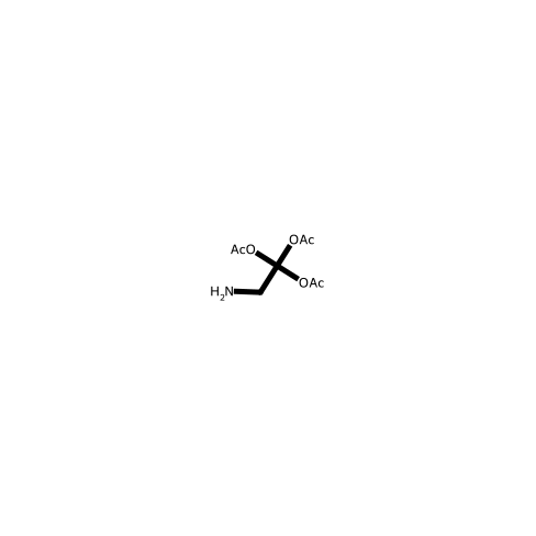 CC(=O)OC(CN)(OC(C)=O)OC(C)=O